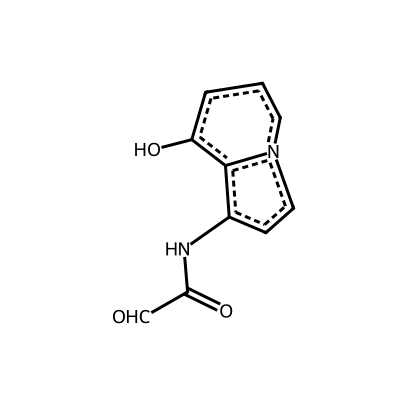 O=CC(=O)Nc1ccn2cccc(O)c12